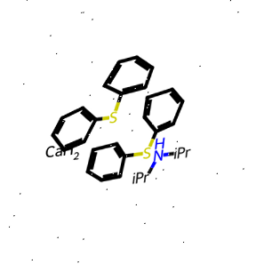 CC(C)NC(C)C.[CaH2].c1ccc(Sc2ccccc2)cc1.c1ccc(Sc2ccccc2)cc1